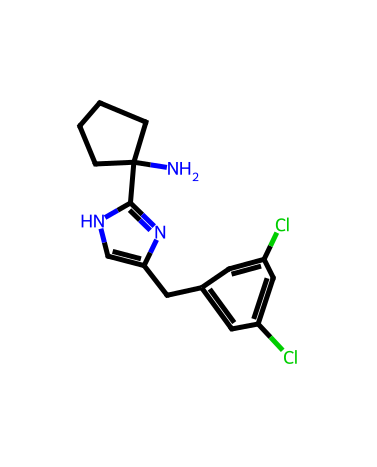 NC1(c2nc(Cc3cc(Cl)cc(Cl)c3)c[nH]2)CCCC1